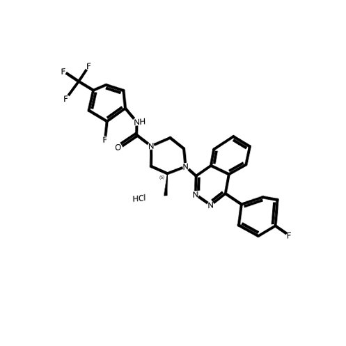 C[C@H]1CN(C(=O)Nc2ccc(C(F)(F)F)cc2F)CCN1c1nnc(-c2ccc(F)cc2)c2ccccc12.Cl